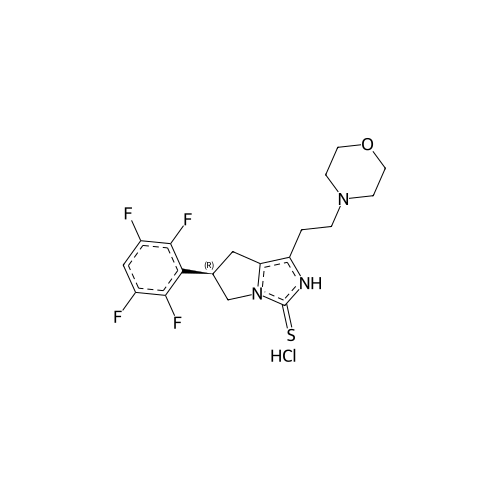 Cl.Fc1cc(F)c(F)c([C@H]2Cc3c(CCN4CCOCC4)[nH]c(=S)n3C2)c1F